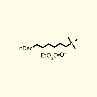 CCCCCCCCCCCCCCCC[N+](C)(C)C.CCOC(=O)[O-]